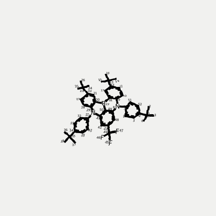 CC(C)(C)c1ccc(N2c3ccc(C(C)(C)C)cc3B3c4cc(C(C)(C)C)ccc4N(c4ccc(C(C)(C)C)cc4)c4cc(C(F)(F)F)cc2c43)cc1